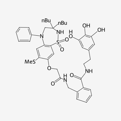 CCCCC1(CCCC)CN(c2ccccc2)c2cc(SC)c(OCC(=O)NCc3ccccc3C(=O)NCCc3cc(O)c(O)c(O)c3)cc2S(=O)(=O)N1